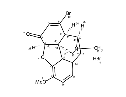 Br.COC1=C2O[C@H]3C(=O)C=C(Br)[C@H]4[C@H]5CC(C=C1)C2[C@@]34CCN5C